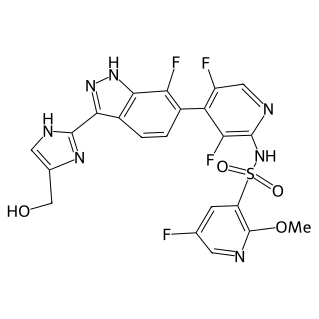 COc1ncc(F)cc1S(=O)(=O)Nc1ncc(F)c(-c2ccc3c(-c4nc(CO)c[nH]4)n[nH]c3c2F)c1F